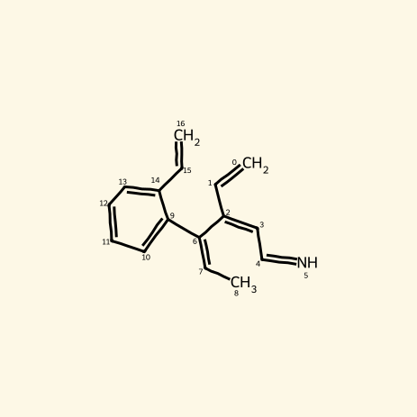 C=CC(=C/C=N)/C(=C\C)c1ccccc1C=C